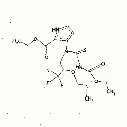 CCCOC(CN(C(=S)NC(=O)OCC)c1cc[nH]c1C(=O)OCC)C(F)(F)F